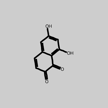 O=C1C=Cc2cc(O)cc(O)c2C1=O